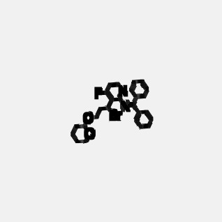 Fc1ccnc(N=C(c2ccccc2)c2ccccc2)c1C(Br)CCOC1CCCCO1